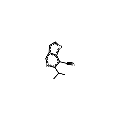 CC(C)c1ncc2ccoc2c1C#N